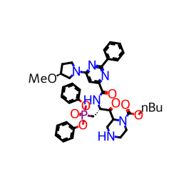 CCCCOC(=O)N1CCNCC1C(=O)[C@H](CP(=O)(Oc1ccccc1)Oc1ccccc1)NC(=O)c1cc(N2CC[C@H](OC)C2)nc(-c2ccccc2)n1